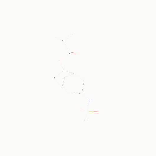 C=C(C)C(=O)OC1CC2CC(NS(=O)(=O)C(F)(F)F)CC1C2